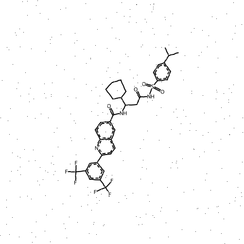 CC(C)c1ccc(S(=O)(=O)NC(=O)CC(NC(=O)c2ccc3nc(-c4cc(C(F)(F)F)cc(C(F)(F)F)c4)ccc3c2)C2CCCCC2)cc1